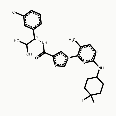 Cc1cnc(NC2CCC(F)(F)CC2)nc1-n1cnc(C(=O)N[C@@H](c2cccc(Cl)c2)C(O)O)c1